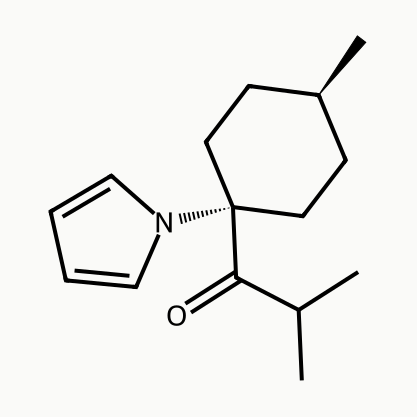 CC(C)C(=O)[C@]1(n2cccc2)CC[C@H](C)CC1